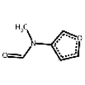 CN(C=O)c1[c]coc1